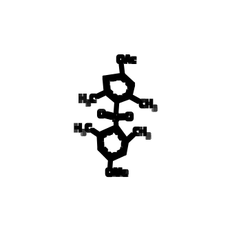 COc1cc(C)c(S(=O)(=O)c2c(C)cc(OC(C)=O)cc2C)c(C)c1